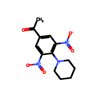 CC(=O)c1cc([N+](=O)[O-])c(N2CCCCC2)c([N+](=O)[O-])c1